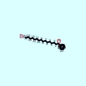 O=C(CCCCCCCCCCCCCCCBr)[C]12[CH]3[CH]4[CH]5[CH]1[Fe]45321678[CH]2[CH]1[CH]6[CH]7[CH]28